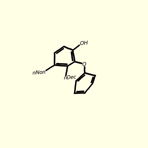 CCCCCCCCCCc1c(CCCCCCCCC)ccc(O)c1Oc1ccccc1